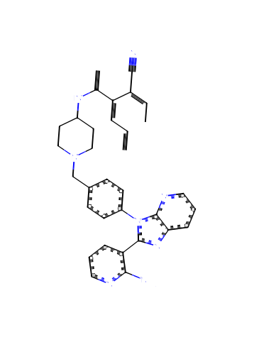 C=C/C=C(C(=C)NC1CCN(Cc2ccc(-n3c(-c4cccnc4N)nc4cccnc43)cc2)CC1)\C(C#N)=C/C